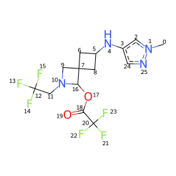 Cn1cc(NC2CC3(C2)CN(CC(F)(F)F)C3OC(=O)C(F)(F)F)cn1